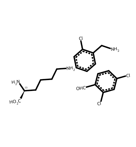 NCCCC[C@H](N)C(=O)O.NCc1ccccc1Cl.O=Cc1ccc(Cl)cc1Cl